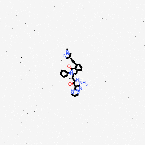 C[C@H](c1cc2cccc(C#Cc3cnn(C)c3)c2c(=O)n1-c1ccccc1)C(N)C(=O)c1c(N)nn2cccnc12